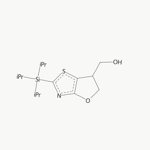 CC(C)[Si](c1nc2c(s1)C(CO)CO2)(C(C)C)C(C)C